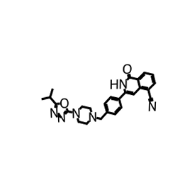 CC(C)c1nnc(N2CCN(Cc3ccc(-c4cc5c(C#N)cccc5c(=O)[nH]4)cc3)CC2)o1